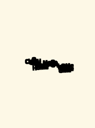 COc1cc(C2NC(=O)c3cc(Cl)ccc3N2)ccc1OCCCCCCCCCOc1cc(C=Cc2cc(OC)c(OC)c(OC)c2)ccc1OC